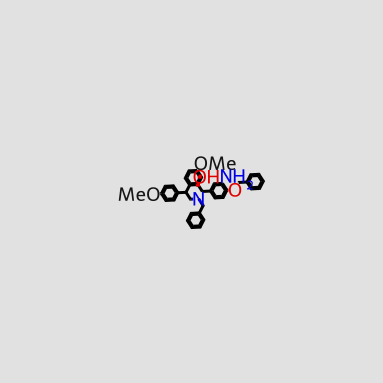 COc1ccc(C(CN(Cc2ccccc2)C(CO)c2ccc(OCc3ccccc3)c(N)c2)c2ccc(OC)cc2)cc1